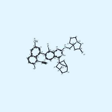 C#Cc1c(F)ccc2cc(O)cc(-c3ccc4c(C56CC7CCC(C5)N76)nc(OCC56CCCN5CC(F)C6)nc4c3F)c12